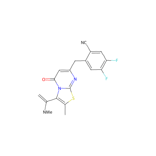 C=C(NC)c1c(C)sc2nc(Cc3cc(F)c(F)cc3C#N)cc(=O)n12